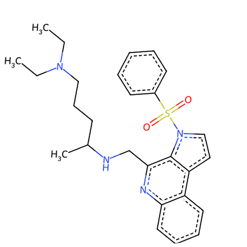 CCN(CC)CCCC(C)NCc1nc2ccccc2c2ccn(S(=O)(=O)c3ccccc3)c12